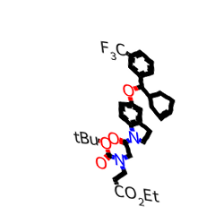 CCOC(=O)CCN(CC(=O)N1CCc2cc(OC(c3cccc(C(F)(F)F)c3)C3CC=CCC3)ccc21)C(=O)OC(C)(C)C